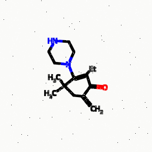 C=C1CC(C)(C)C(N2CCNCC2)=C(CC)C1=O